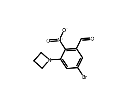 O=Cc1cc(Br)cc(N2CCC2)c1[N+](=O)[O-]